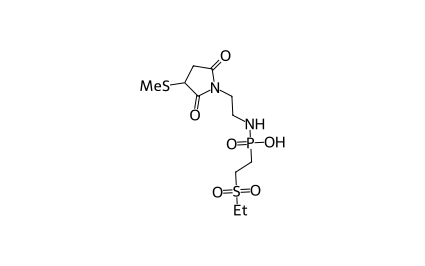 CCS(=O)(=O)CCP(=O)(O)NCCN1C(=O)CC(SC)C1=O